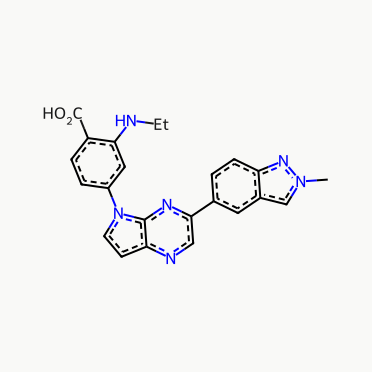 CCNc1cc(-n2ccc3ncc(-c4ccc5nn(C)cc5c4)nc32)ccc1C(=O)O